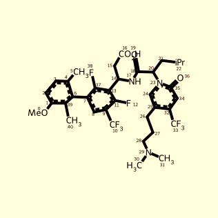 COc1ccc(C)c(-c2cc(C(F)(F)F)c(F)c(C(CC(=O)O)NC(=O)C(CC(C)C)n3cc(CCCN(C)C)c(C(F)(F)F)cc3=O)c2F)c1C